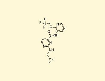 O=C(Nc1cncnc1OCC(F)(F)F)c1ccnc(NCC2CC2)n1